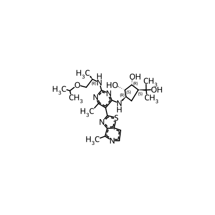 Cc1nc(N[C@H](C)COC(C)C)nc(N[C@@H]2C[C@H](C(C)(C)O)[C@@H](O)[C@H]2O)c1-c1nc2c(C)nccc2s1